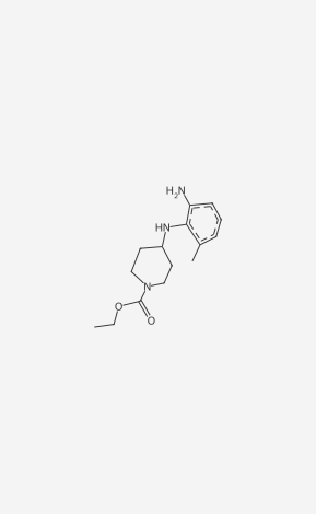 CCOC(=O)N1CCC(Nc2c(C)cccc2N)CC1